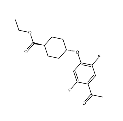 CCOC(=O)[C@H]1CC[C@H](Oc2cc(F)c(C(C)=O)cc2F)CC1